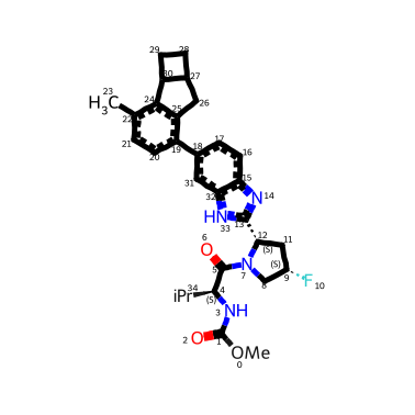 COC(=O)N[C@H](C(=O)N1C[C@@H](F)C[C@H]1c1nc2ccc(-c3ccc(C)c4c3CC3CCC43)cc2[nH]1)C(C)C